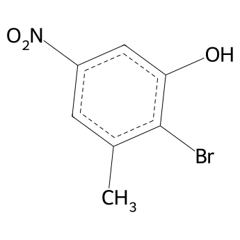 Cc1cc([N+](=O)[O-])cc(O)c1Br